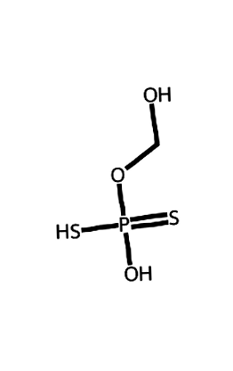 OCOP(O)(=S)S